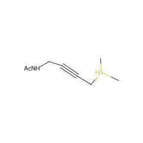 CC(=O)NCC#CC[SH](C)C